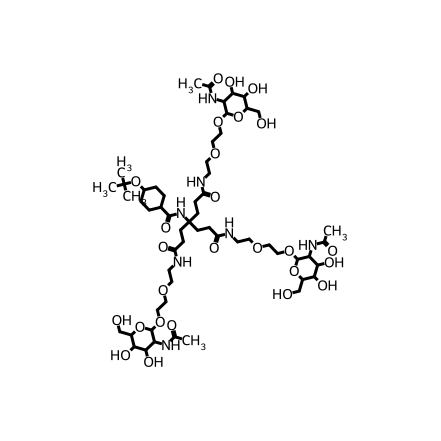 CC(=O)NC1C(OCCOCCNC(=O)CCC(CCC(=O)NCCOCCOC2OC(CO)C(O)C(O)C2NC(C)=O)(CCC(=O)NCCOCCOC2OC(CO)C(O)C(O)C2NC(C)=O)NC(=O)C2CCC(OC(C)(C)C)CC2)OC(CO)C(O)C1O